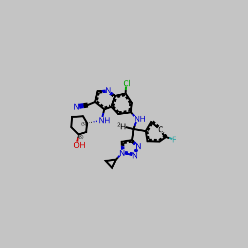 [2H]C(Nc1cc(Cl)c2ncc(C#N)c(N[C@H]3CCC[C@H](O)C3)c2c1)(c1ccc(F)cc1)c1cn(C2CC2)nn1